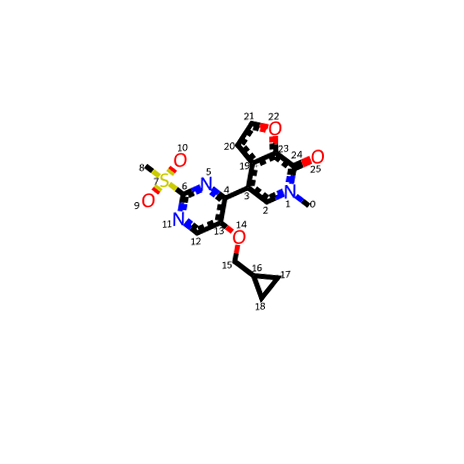 Cn1cc(-c2nc(S(C)(=O)=O)ncc2OCC2CC2)c2ccoc2c1=O